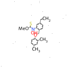 C=Cc1ccc(COc2ccc(C)cc2C)c(N(O)C(=S)OC)c1